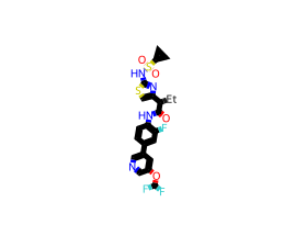 CCC(C(=O)Nc1ccc(-c2cncc(OC(F)F)c2)cc1F)c1csc(NS(=O)(=O)C2CC2)n1